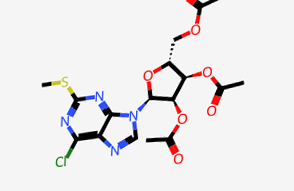 CSc1nc(Cl)c2ncn([C@H]3O[C@H](COC(C)=O)[C@@H](OC(C)=O)[C@H]3OC(C)=O)c2n1